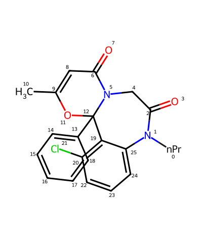 CCCN1C(=O)CN2C(=O)C=C(C)OC2(c2ccccc2)c2c(Cl)cccc21